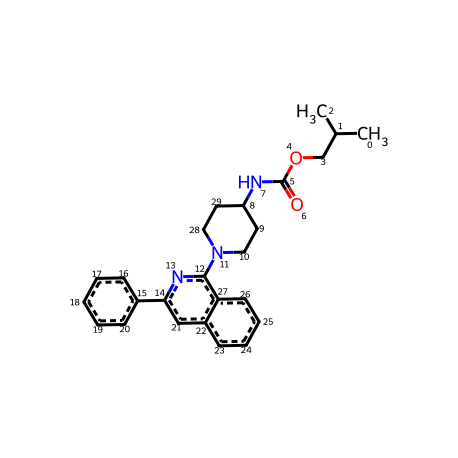 CC(C)COC(=O)NC1CCN(c2nc(-c3ccccc3)cc3ccccc23)CC1